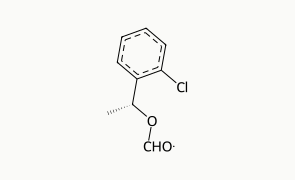 C[C@@H](O[C]=O)c1ccccc1Cl